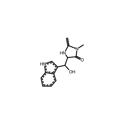 C=C1NC(C(O)c2c[nH]c3ccccc23)C(=O)N1C